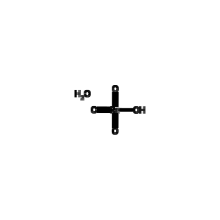 O.[O]=[Re](=[O])(=[O])[OH]